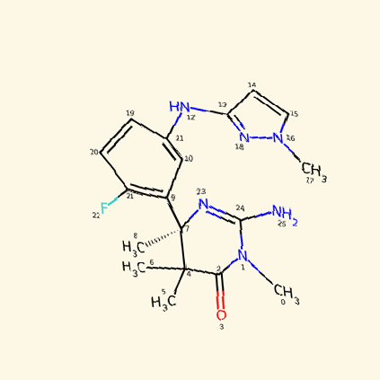 CN1C(=O)C(C)(C)[C@@](C)(c2cc(Nc3ccn(C)n3)ccc2F)N=C1N